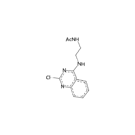 CC(=O)NCCNc1nc(Cl)nc2ccccc12